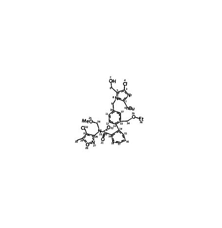 CCCCc1nc(Cl)c(CO)n1Cc1ccc(-c2ccccc2S(=O)(=O)N(COC)c2noc(C)c2Cl)c(COCC)c1